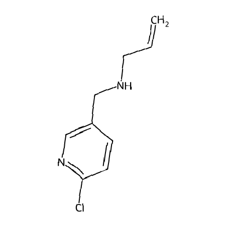 C=CCNCc1ccc(Cl)nc1